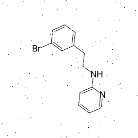 Brc1cccc(CCNc2ccccn2)c1